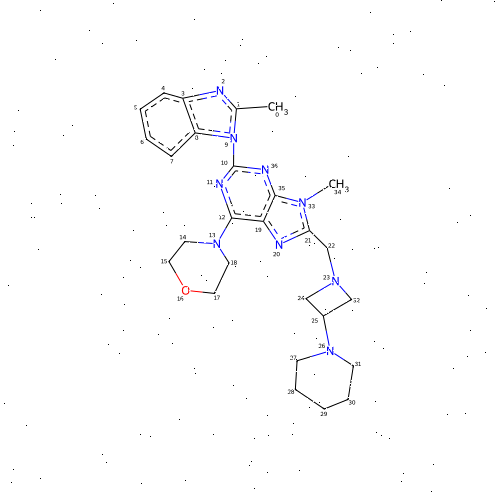 Cc1nc2ccccc2n1-c1nc(N2CCOCC2)c2nc(CN3CC(N4CCCCC4)C3)n(C)c2n1